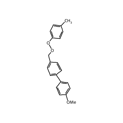 COc1ccc(-c2ccc(COOc3ccc(C)cc3)cc2)cc1